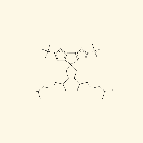 CC(C)CCCC(C)CC[Si]1(CCC(C)CCCC(C)C)c2c[c]([Sn]([CH3])([CH3])[CH3])sc2-c2s[c]([Sn]([CH3])([CH3])[CH3])cc21